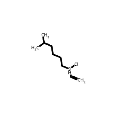 C=C[SiH](Cl)CCCCC(C)C